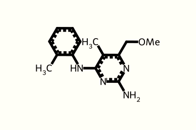 COCc1nc(N)nc(Nc2ccccc2C)c1C